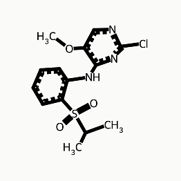 COc1cnc(Cl)nc1Nc1ccccc1S(=O)(=O)C(C)C